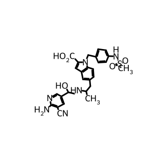 CC(Cc1ccc2c(c1)cc(C(=O)O)n2Cc1ccc(NS(C)(=O)=O)cc1)NCC(O)c1cnc(N)c(C#N)c1